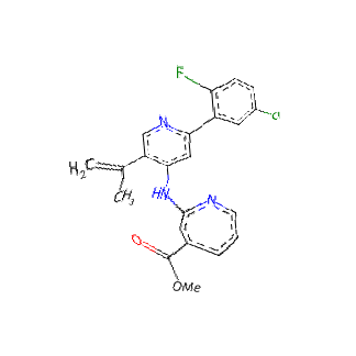 C=C(C)c1cnc(-c2cc(Cl)ccc2F)cc1Nc1ncccc1C(=O)OC